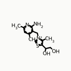 Cc1cc(C)c(C[n+]2csc(C(O)CO)c2C)c(N)n1